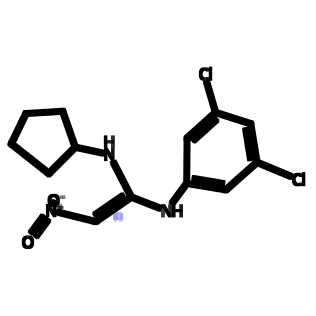 O=[N+]([O-])/C=C(/Nc1cc(Cl)cc(Cl)c1)NC1CCCC1